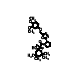 COc1ccc(OCc2nnc([C@@H]3CCCN3C(=O)C(F)(F)C3(O)CC(C)(C)CC(C)(C)C3)o2)cc1OC